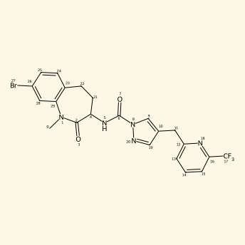 CN1C(=O)C(NC(=O)n2cc(Cc3cccc(C(F)(F)F)n3)cn2)CCc2ccc(Br)cc21